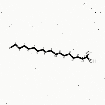 CCCCCCCCCCCCCCCCCC(O)S